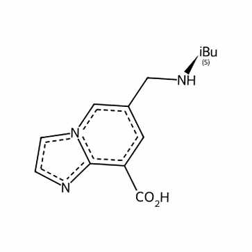 CC[C@H](C)NCc1cc(C(=O)O)c2nccn2c1